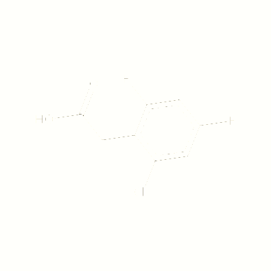 O=C(O)Cc1c(F)cc(F)cc1Cl